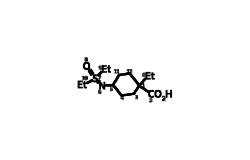 CCC1(C(=O)O)CCC(N=S(=O)(CC)CC)CC1